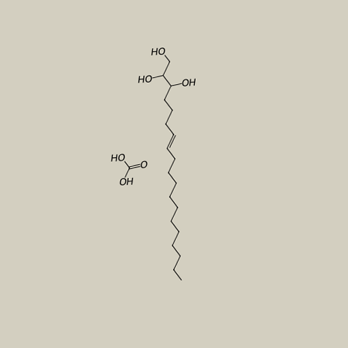 CCCCCCCCCCCC=CCCCC(O)C(O)CO.O=C(O)O